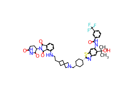 CC(C)(O)c1cc2nc([C@H]3CC[C@H](CN4CC5(CC(CCNc6cccc7c6C(=O)N(C6CCC(=O)NC6=O)C7=O)C5)C4)CC3)sc2cc1NC(=O)c1cccc(C(F)(F)F)c1